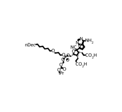 CCCCCCCCCCCCCCCCOCCCOP(=O)(OCOC(=O)OC(C)C)OC[C@@H]1O[C@@](C#N)(c2ccc3c(N)ncnn23)[C@H](CCC(=O)O)[C@H]1CCC(=O)O